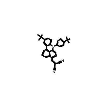 CC(C)(C)c1ccc(N2c3ccc(C(C)(C)C)cc3-c3cccc4c(C=C(C#N)C#N)ccc2c34)cc1